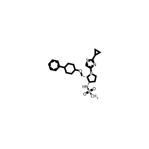 CS(=O)(=O)N[C@H]1CCN(c2csc(C3CC3)n2)[C@H]1COC1CCC(c2ccccc2)CC1